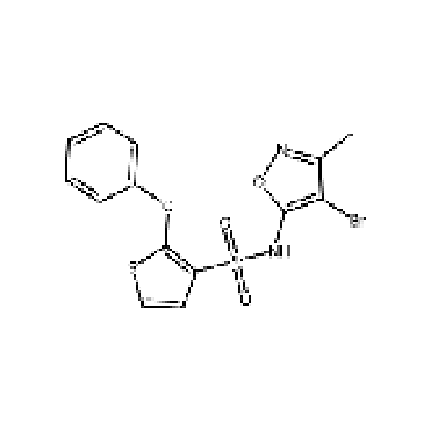 Cc1noc(NS(=O)(=O)c2ccsc2Oc2ccccc2)c1Br